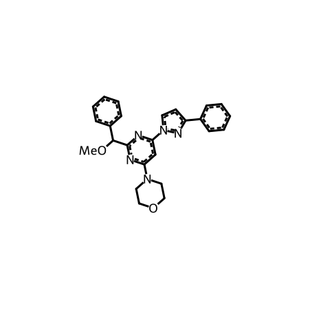 COC(c1ccccc1)c1nc(N2CCOCC2)cc(-n2ccc(-c3ccccc3)n2)n1